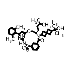 Cc1cccc(C)c1-c1cc2nc(n1)NS(=O)(=O)c1cccc(c1)C(=O)N(C1CC3(C1)CC(C(C)(C)O)C3)[C@H](CCC(C)C)CO2